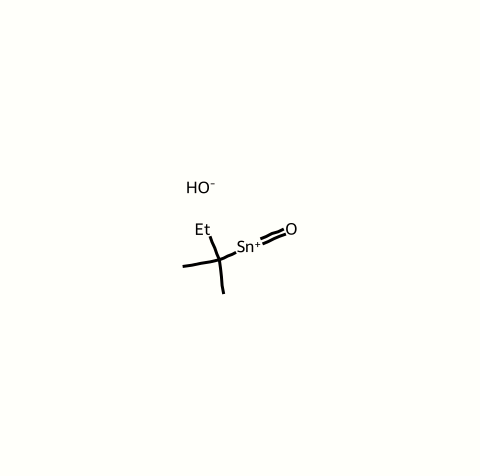 CC[C](C)(C)[Sn+]=[O].[OH-]